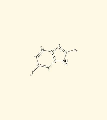 Cc1cc2ncc(I)cc2[nH]1